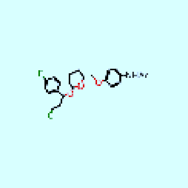 CC(=O)Nc1ccc(OC[C@H]2CCC[C@H](OC(CCCl)c3ccc(F)cc3)O2)cc1